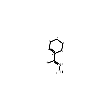 CC(=NO)C1=CCCCC1